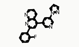 Fc1ccccc1-c1cc(-c2cncc(-n3cccn3)c2)c2cccnc2n1